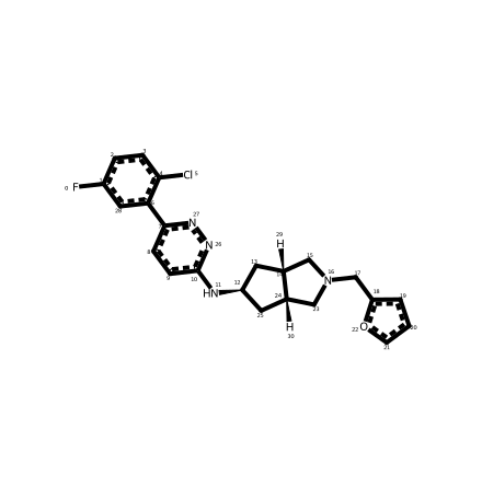 Fc1ccc(Cl)c(-c2ccc(N[C@H]3C[C@@H]4CN(Cc5ccco5)C[C@@H]4C3)nn2)c1